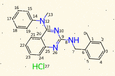 Cc1ccccc1CNc1nc(N(C)c2ccccc2)c2ccccc2n1.Cl